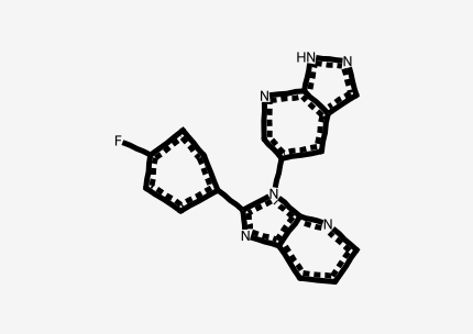 Fc1ccc(-c2nc3cccnc3n2-c2cnc3[nH]ncc3c2)cc1